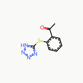 CC(=O)c1ccccc1Sc1nnn[nH]1